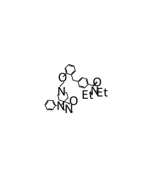 CCN(CC)C(=O)c1ccc(Cc2ccccc2OCCN2CCC3(CC2)C(=O)N(C)CN3c2ccccc2)cc1